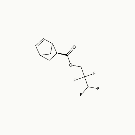 O=C(OCC(F)(F)C(F)F)[C@H]1CC2C=CC1C2